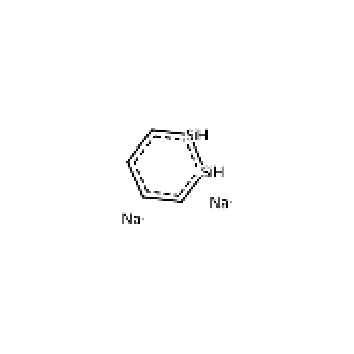 [Na].[Na].c1cc[siH][siH]c1